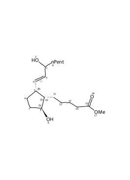 CCCCCC(O)/C=C/[C@H]1CC[C@H](O)[C@H]1CCCCC(=O)OC